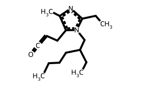 CCCCC(CC)Cn1c(CC)nc(C)c1CC=C=O